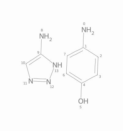 Nc1ccc(O)cc1.Nc1cnn[nH]1